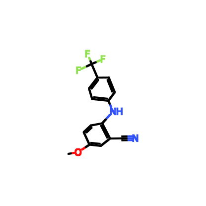 COc1ccc(Nc2ccc(C(F)(F)F)cc2)c(C#N)c1